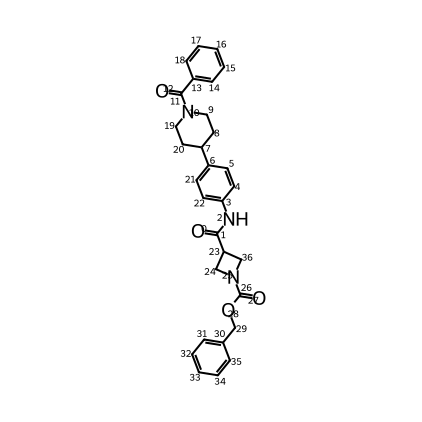 O=C(Nc1ccc(C2CCN(C(=O)c3ccccc3)CC2)cc1)C1CN(C(=O)OCc2ccccc2)C1